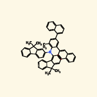 Cc1cc(-c2cccc3ccccc23)cc(-c2ccc3ccccc3c2)c1N(c1ccc2c(c1)C(C)(C)c1ccccc1-2)c1cccc2c1-c1ccccc1C2(C)C